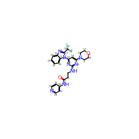 O=C(CCNc1nc(N2CCOCC2)cc(-n2c(C(F)F)nc3ccccc32)n1)Nc1ccncc1